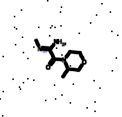 C/N=C(\N)C(=O)N1CCOCC1C